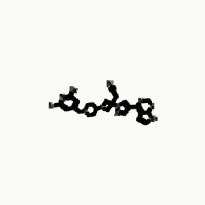 N#CCC1(n2cc(-c3ncnc4[nH]ccc34)cn2)CN(C2CCN(Cc3cc(Br)nc(Br)c3)CC2)C1